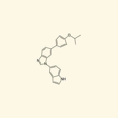 CC(C)Oc1ccc(-c2ccc3ncn(-c4ccc5[nH]ccc5c4)c3c2)cc1